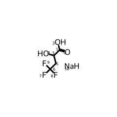 O=C(O)C(O)CC(F)(F)F.[NaH]